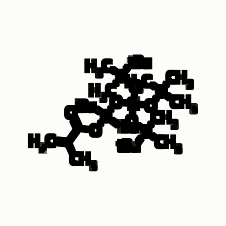 C=C(C)C(=O)O[Si](O[Si](O[Si](C)(C)C)(O[Si](C)(C)C(C)(C)C)O[Si](C)(C)C(C)(C)C)(C(C)CC)C(C)CC